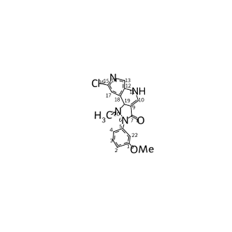 COc1cccc(N2C(=O)C3=CNc4cnc(Cl)cc4C3N2C)c1